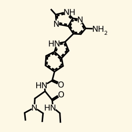 CCNC(=O)C(CN(CC)CC)NC(=O)c1ccc2[nH]c(-c3cc(N)nc4[nH]c(C)nc34)cc2c1